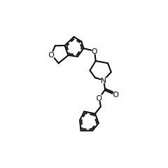 O=C(OCc1ccccc1)N1CCC(Oc2ccc3c(c2)COC3)CC1